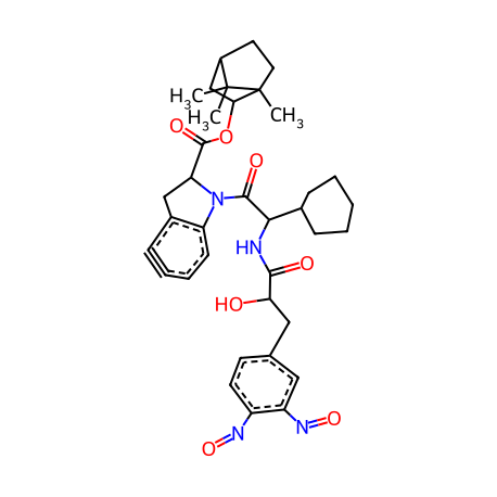 CC1(C)C2CCC1(C)C(OC(=O)C1Cc3c#cccc3N1C(=O)C(NC(=O)C(O)Cc1ccc(N=O)c(N=O)c1)C1CCCCC1)C2